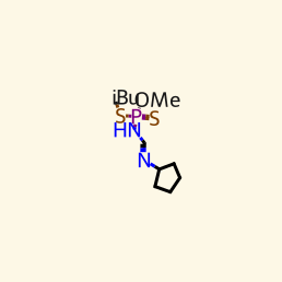 CCC(C)SP(=S)(NC=NC1CCCC1)OC